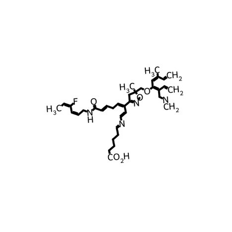 C=C/C(C)=C\C(OCC1(C)CC(C(=CC/C=C/C(=O)NC/C=C\C(F)=C/C)/C=C/N=C/CCCCC(=O)O)=NO1)=C(/C=C)CN=C